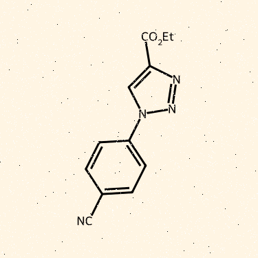 CCOC(=O)c1cn(-c2ccc(C#N)cc2)nn1